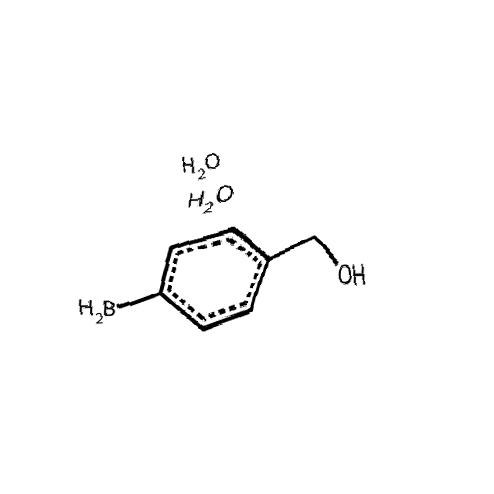 Bc1ccc(CO)cc1.O.O